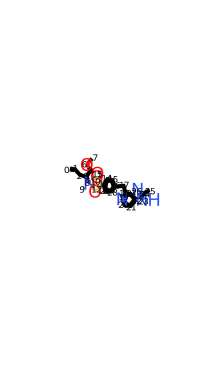 C=CCC(C(=O)OC)N(C)S(=O)(=O)c1ccc(Cc2nccc3[nH]c(C)nc23)cc1